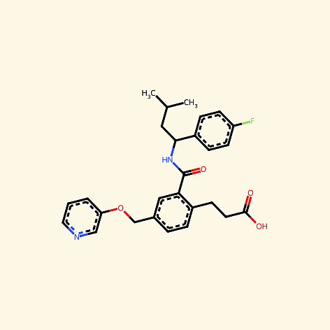 CC(C)CC(NC(=O)c1cc(COc2cccnc2)ccc1CCC(=O)O)c1ccc(F)cc1